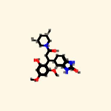 COc1cc(O)c(C(CC(=O)N2C[C@H](C)C[C@H](C)C2)C2C=c3[nH]c(=O)[nH]c3=CC2)c(OC)c1